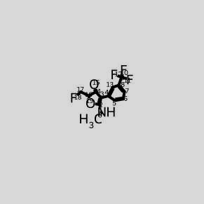 CNC1=C(c2cccc(C(F)(F)F)c2)C(=O)C(CF)O1